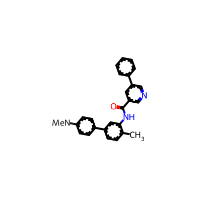 CNc1ccc(-c2ccc(C)c(NC(=O)c3cncc(-c4ccccc4)c3)c2)cc1